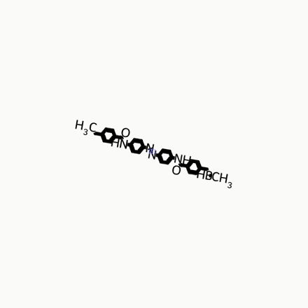 CBCc1ccc(C(=O)Nc2ccc(/N=N/c3ccc(NC(=O)c4ccc(CC)cc4)cc3)cc2)cc1